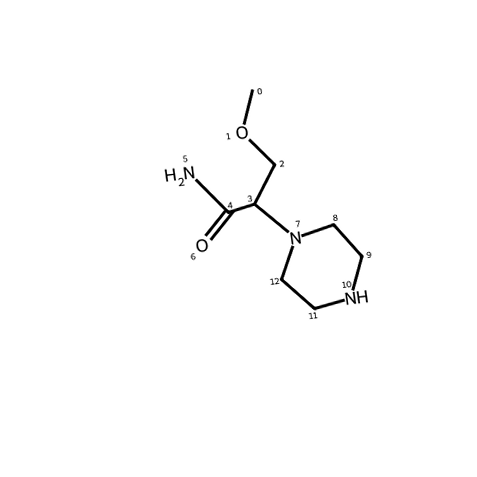 COCC(C(N)=O)N1CCNCC1